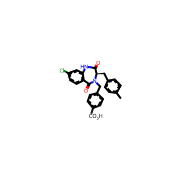 Cc1ccc(C[C@@H]2C(=O)Nc3cc(Cl)ccc3C(=O)N2Cc2ccc(C(=O)O)cc2)cc1